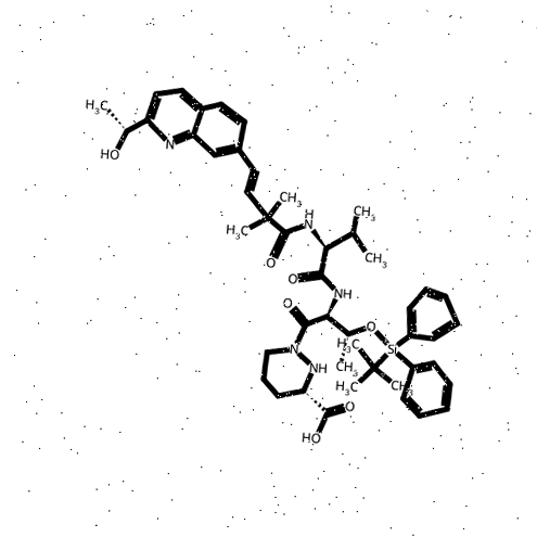 CC(C)[C@H](NC(=O)C(C)(C)C=Cc1ccc2ccc([C@@H](C)O)nc2c1)C(=O)N[C@H](C(=O)N1CCC[C@@H](C(=O)O)N1)[C@@H](C)O[Si](c1ccccc1)(c1ccccc1)C(C)(C)C